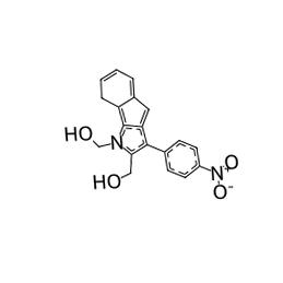 O=[N+]([O-])c1ccc(-c2c(CO)n(CO)c3c2=CC2=CC=CCC=32)cc1